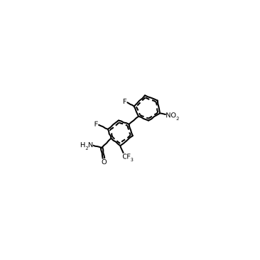 NC(=O)c1c(F)cc(-c2cc([N+](=O)[O-])ccc2F)cc1C(F)(F)F